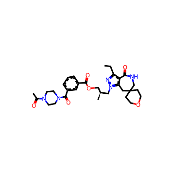 CCc1nn(C[C@@H](C)COC(=O)c2cccc(C(=O)N3CCN(C(C)=O)CC3)c2)c2c1C(=O)NCC1(CCOCC1)C2